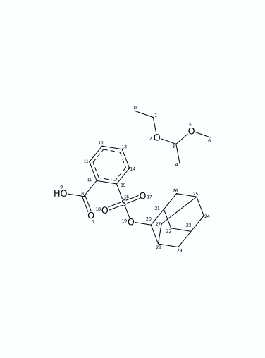 CCOC(C)OC.O=C(O)c1ccccc1S(=O)(=O)OC1C2CC3CC(C2)CC1C3